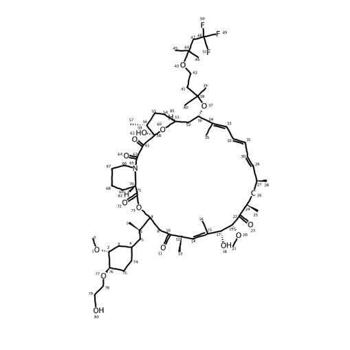 CO[C@@H]1CC(C[C@@H](C)C2CC(=O)[C@H](C)/C=C(\C)[C@@H](O)[C@@H](OC)C(=O)[C@H](C)C[C@H](C)/C=C/C=C/C=C(\C)[C@@H](OC(C)(C)CCOC(C)(C)CC(F)(F)F)C[C@@H]3CC[C@@H](C)[C@@](O)(O3)C(=O)C(=O)N3CCCC[C@H]3C(=O)O2)CC[C@H]1OCCO